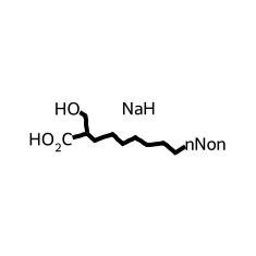 CCCCCCCCCCCCCCCCC(CO)C(=O)O.[NaH]